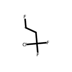 F[CH]CC(F)(F)Cl